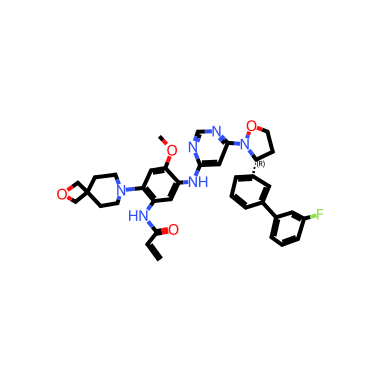 C=CC(=O)Nc1cc(Nc2cc(N3OCC[C@@H]3c3cccc(-c4cccc(F)c4)c3)ncn2)c(OC)cc1N1CCC2(CC1)COC2